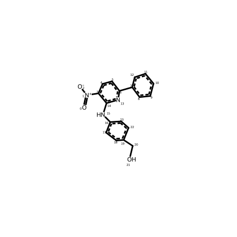 O=[N+]([O-])c1ccc(-c2ccccc2)nc1Nc1ccc(CO)cc1